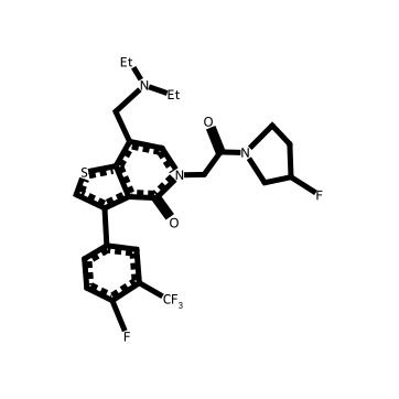 CCN(CC)Cc1cn(CC(=O)N2CCC(F)C2)c(=O)c2c(-c3ccc(F)c(C(F)(F)F)c3)csc12